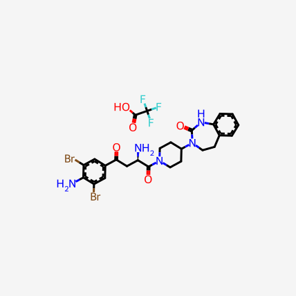 Nc1c(Br)cc(C(=O)C[C@@H](N)C(=O)N2CCC(N3CCc4ccccc4NC3=O)CC2)cc1Br.O=C(O)C(F)(F)F